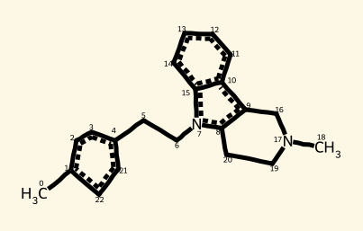 Cc1ccc(CCn2c3c(c4ccccc42)CN(C)CC3)cc1